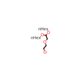 CCCCCCOC(COCC[O])OCCCCCC